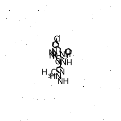 Cc1cc(C(=O)N[C@@H](Cc2ccccc2)C(=O)NCCc2cc(Cl)ccc2-n2cnnn2)cnc1NC=N